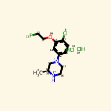 C[C@H]1CN(c2ccc(Cl)c(OCCF)c2)CCN1.Cl.Cl